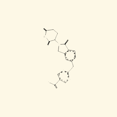 NC(=O)c1cnc(Cc2ccc3c(c2)CN(C2CCC(=O)NC2=O)C3=O)nc1